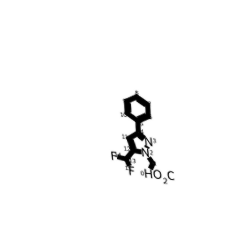 O=C(O)Cn1nc(-c2ccccc2)cc1C(F)F